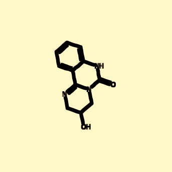 O=C1Nc2ccccc2C2=NCC(O)CN12